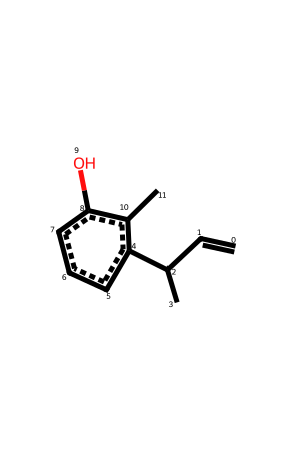 C=C[C](C)c1cccc(O)c1C